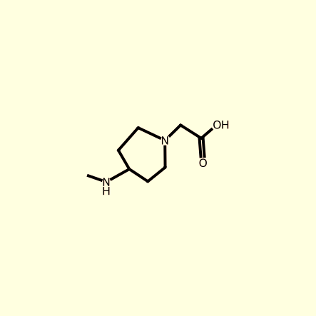 CNC1CCN(CC(=O)O)CC1